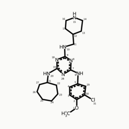 COc1ccc(Nc2nc(NCC3CCNCC3)nc(NC3CCCCCC3)n2)cc1Cl